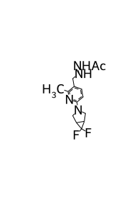 CC(=O)NNCc1ccc(N2CC3C(C2)C3(F)F)nc1C